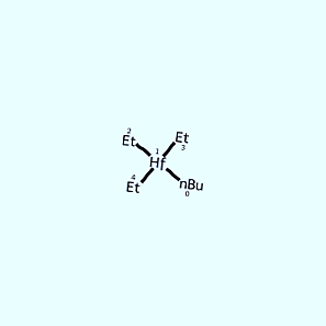 CCC[CH2][Hf]([CH2]C)([CH2]C)[CH2]C